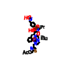 CC[C@H](C)[C@@H](C(=O)N[C@@H](Cc1ccccc1)[C@@H](O)CN(CC(C)C)S(=O)(=O)c1ccc(C=NO)cc1)N1CCN(Cc2csc(COC(C)=O)n2)C1=O